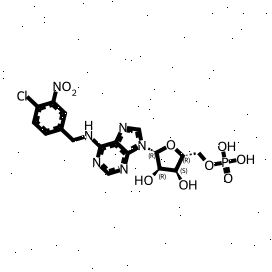 O=[N+]([O-])c1cc(CNc2ncnc3c2ncn3[C@@H]2O[C@H](COP(=O)(O)O)[C@@H](O)[C@H]2O)ccc1Cl